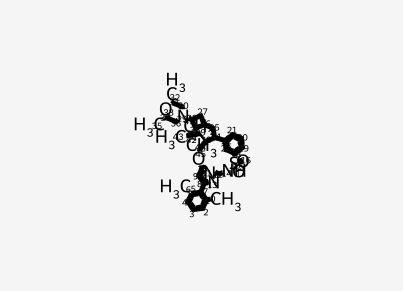 Cc1cccc(C)c1-c1cc2nc(n1)NS(=O)(=O)c1cccc(c1)C(CC1CC(N3C[C@@H](C)O[C@@H](C)C3)C1)[C@H](CC(C)(C)C)CO2